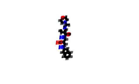 C=C/C(=C\N=C(/C)N1CCOCC1)C(=O)NC[C@@H](O)CNC1Cc2ccccc2C1